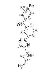 Cc1c[nH]c(-c2noc(C3CCCN(C(=O)c4ccc(F)c(F)c4)C3)n2)c1